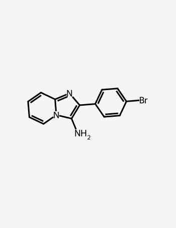 Nc1c(-c2ccc(Br)cc2)nc2ccccn12